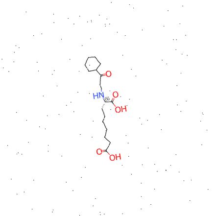 O=C(O)CCCCCC[C@H](NCCC(=O)C1CCCCC1)C(=O)O